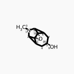 CN1C2C3C[C@H](O)CC4C1[C@@]41O[C@]321